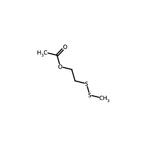 CSSCCOC(C)=O